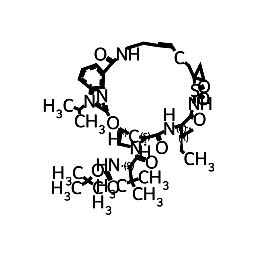 CC[C@@H]1C[C@@]12NC(=O)[C@@H]1C[C@H](CN1C(=O)[C@@H](NC(=O)OC(C)(C)C)C(C)(C)C)Oc1nc3c(cccc3n1C(C)C)C(=O)NCCC=CCCC1(CC1)S(=O)(=O)NC2=O